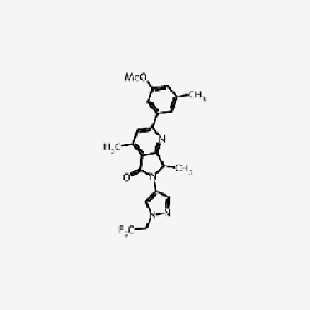 COc1cc(C)cc(-c2cc(C)c3c(n2)[C@@H](C)N(c2cnn(CC(F)(F)F)c2)C3=O)c1